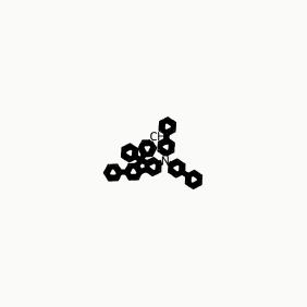 Cc1ccc(C2(c3ccccc3)c3cc(-c4ccccc4)ccc3-c3ccc(N(c4ccc(-c5ccccc5)cc4)c4ccc(-c5ccccc5)cc4)cc32)cc1